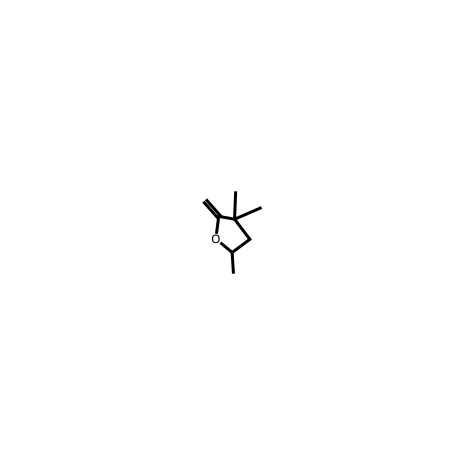 C=C1OC(C)CC1(C)C